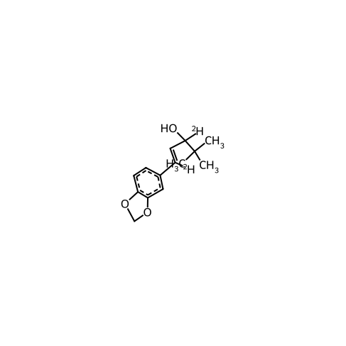 [2H]/C(=C\C([2H])(O)C(C)(C)C)c1ccc2c(c1)OCO2